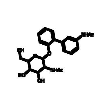 CC(=O)Nc1cccc(-c2ccccc2OC2OC(CO)C(O)C(O)C2NC(C)=O)c1